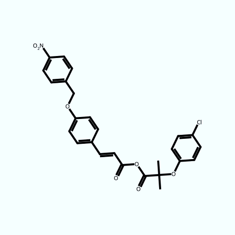 CC(C)(Oc1ccc(Cl)cc1)C(=O)OC(=O)/C=C/c1ccc(OCc2ccc([N+](=O)[O-])cc2)cc1